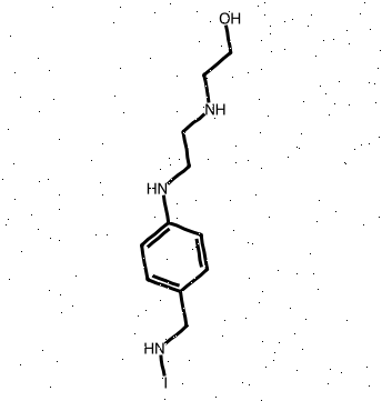 OCCNCCNc1ccc(CNI)cc1